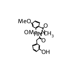 COc1ccc(C(=O)N(C)NC(=O)Cc2cccc(O)c2)c(OC)c1